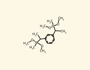 CO[Si](C)(OC)C(C)c1cccc(C(C)[Si](C)(OC)OC)c1